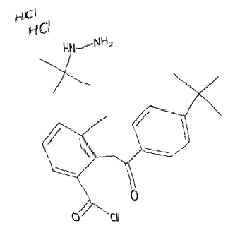 CC(C)(C)NN.Cc1cccc(C(=O)Cl)c1C(=O)c1ccc(C(C)(C)C)cc1.Cl.Cl